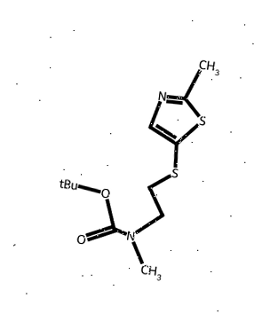 Cc1ncc(SCCN(C)C(=O)OC(C)(C)C)s1